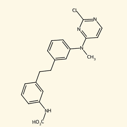 CN(c1cccc(CCc2cccc(NC(=O)O)c2)c1)c1ccnc(Cl)n1